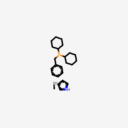 CS(=O)(=O)O.c1cc[nH]c1.c1ccc(CP(C2CCCCC2)C2CCCCC2)cc1